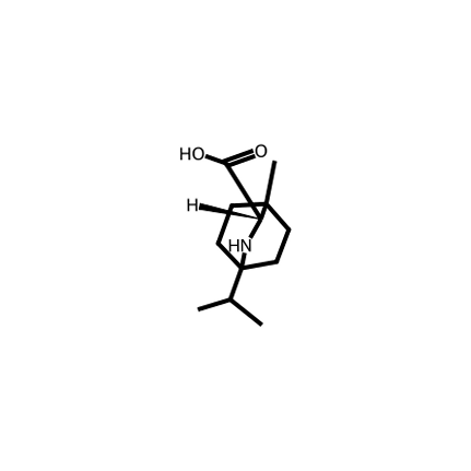 CC(C)C12CCC(C)(CC1)[C@@H](C(=O)O)N2